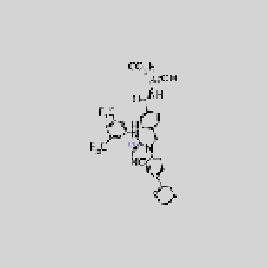 O=C(NC[C@@H](O)C(=O)O)c1ccc(CN(/C(=C\[N+](=O)[O-])Nc2cc(C(F)(F)F)cc(C(F)(F)F)c2)c2ccc(C3=CCCCC3)cc2)cc1